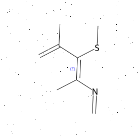 C=N/C(C)=C(\SC)C(=C)C